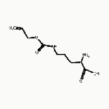 C=CCOC(=O)NCCCC(N)C(=O)O